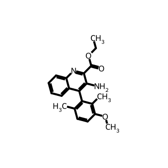 CCOC(=O)c1nc2ccccc2c(-c2c(C)ccc(OC)c2C)c1N